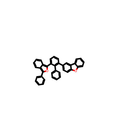 c1ccc(-c2c(-c3ccc4oc5ccccc5c4c3)cccc2-c2oc(-c3ccccc3)c3ccccc23)cc1